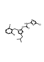 CC(C)Cc1cc(OC(=O)Nc2ncc(Cl)s2)n(Cc2c(F)cccc2F)c1